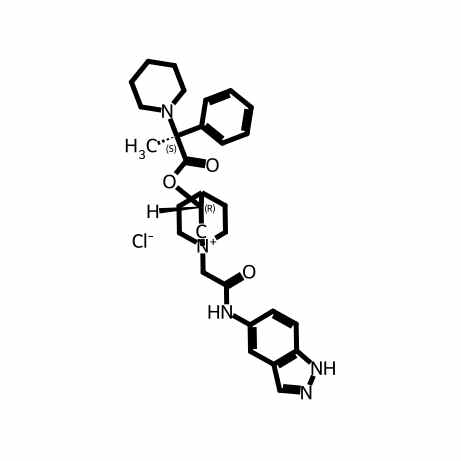 C[C@@](C(=O)O[C@H]1C[N+]2(CC(=O)Nc3ccc4[nH]ncc4c3)CCC1CC2)(c1ccccc1)N1CCCCC1.[Cl-]